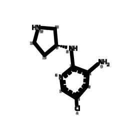 Nc1cc(Cl)cnc1N[C@@H]1CCNC1